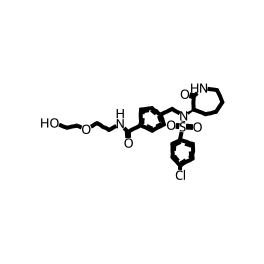 O=C(NCCOCCO)c1ccc(CN([C@@H]2CCCCNC2=O)S(=O)(=O)c2ccc(Cl)cc2)cc1